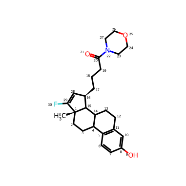 C[C@]12CCC3c4ccc(O)cc4CCC3C1[C@H](CCCC(=O)N1CCOCC1)C=C2F